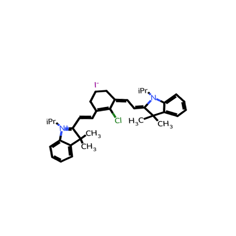 CC(C)N1C(=CC=C2CCCC(C=CC3=[N+](C(C)C)c4ccccc4C3(C)C)=C2Cl)C(C)(C)c2ccccc21.[I-]